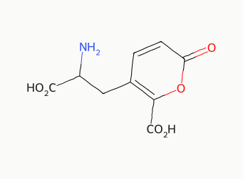 NC(Cc1ccc(=O)oc1C(=O)O)C(=O)O